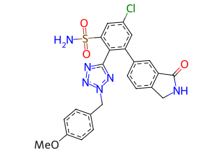 COc1ccc(Cn2nnc(-c3c(-c4ccc5c(c4)C(=O)NC5)cc(Cl)cc3S(N)(=O)=O)n2)cc1